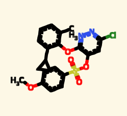 COc1ccc(S(=O)(=O)Oc2cc(Cl)nnc2Oc2c(C)cccc2C2CC2)cc1